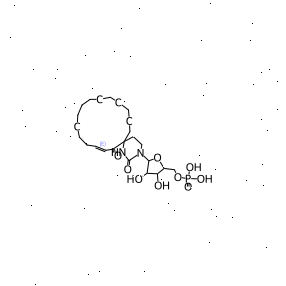 O=C1NC2(CCCCCCCCCCCC/C=C/C2=O)CCN1C1OC(COP(=O)(O)O)C(O)C1O